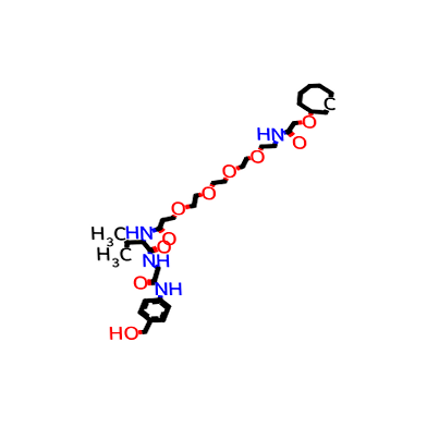 CC(C)C(NC(=O)CCOCCOCCOCCOCCNC(=O)COC1CCCCCCC1)C(=O)NCC(=O)Nc1ccc(CO)cc1